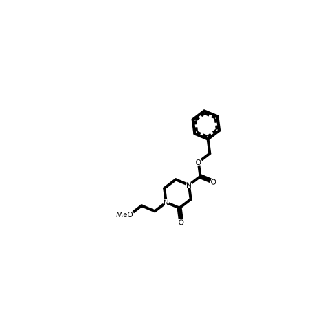 COCCN1CCN(C(=O)OCc2ccccc2)CC1=O